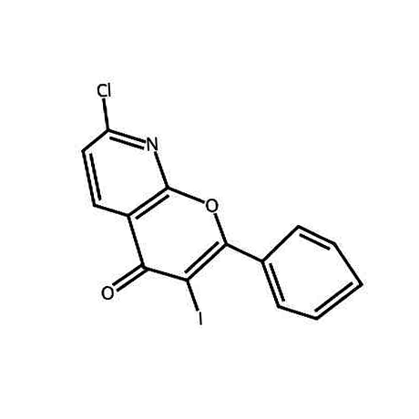 O=c1c(I)c(-c2ccccc2)oc2nc(Cl)ccc12